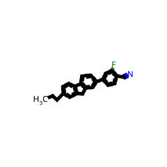 CCCc1ccc2c(c1)Cc1cc(-c3ccc(C#N)c(F)c3)ccc1-2